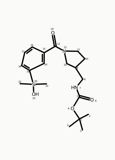 CC(C)(C)OC(=O)NCC1CCN(C(=O)c2cccc([Si](C)(C)O)c2)C1